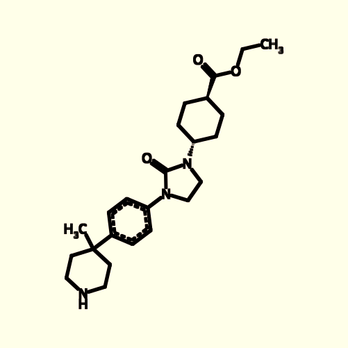 CCOC(=O)[C@H]1CC[C@H](N2CCN(c3ccc(C4(C)CCNCC4)cc3)C2=O)CC1